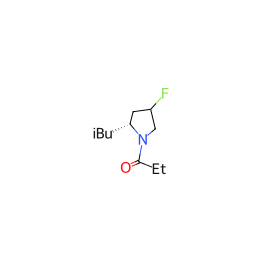 CCC(=O)N1CC(F)C[C@H]1C(C)CC